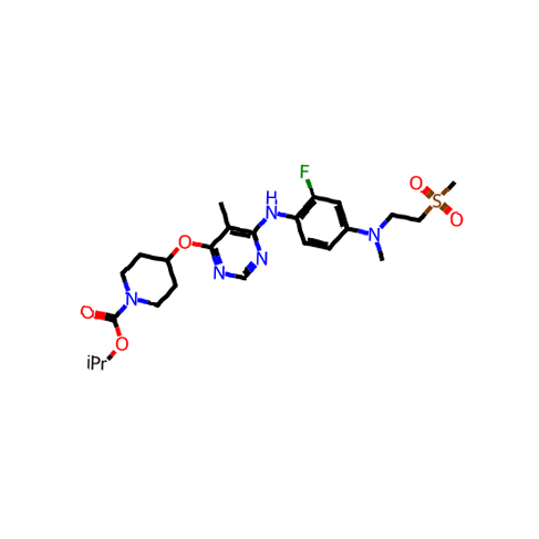 Cc1c(Nc2ccc(N(C)CCS(C)(=O)=O)cc2F)ncnc1OC1CCN(C(=O)OC(C)C)CC1